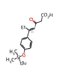 CC/C(=C\C(=O)CC(=O)O)c1ccc(O[Si](C)(C)C(C)(C)C)cc1